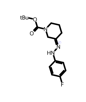 CC(C)(C)OC(=O)N1CCC/C(=N/Nc2ccc(F)cc2)C1